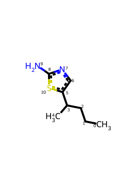 CCCC(C)c1cnc(N)s1